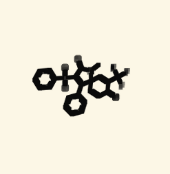 CN1C(=O)C(S(=O)(=O)c2ccccc2)=C(c2ccccc2)C12C=CC(=O)C(C(F)(F)F)=C2